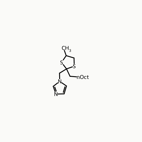 CCCCCCCCCC1(Cn2ccnc2)SCC(C)S1